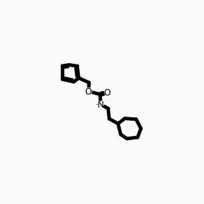 O=C([N]CCC1CCCCCC1)OCc1ccccc1